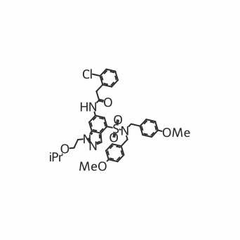 COc1ccc(CN(Cc2ccc(OC)cc2)S(=O)(=O)c2cc(NC(=O)Cc3ccccc3Cl)cc3c2cnn3CCOC(C)C)cc1